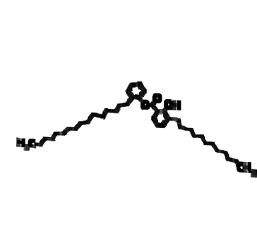 CCCCCCCCCCCCCCCCc1ccccc1OC(=O)c1cccc(CCCCCCCCCCCC)c1O